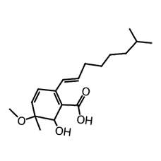 COC1(C)C=CC(C=CCCCCC(C)C)=C(C(=O)O)C1O